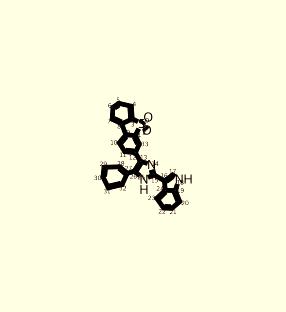 O=S1(=O)c2ccccc2-c2ccc(-c3nc(-c4c[nH]c5ccccc45)[nH]c3-c3ccccc3)cc21